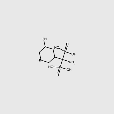 NC(C1CNCC(S)C1)(P(=O)(O)O)P(=O)(O)O